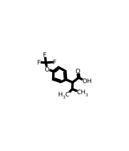 CC(C)C(C(=O)O)c1ccc(OC(F)(F)F)cc1